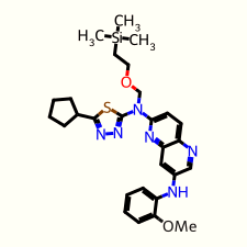 COc1ccccc1Nc1cnc2ccc(N(COCC[Si](C)(C)C)c3nnc(C4CCCC4)s3)nc2c1